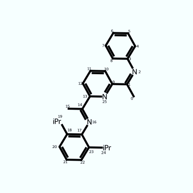 CC(=Nc1ccccc1)c1cccc(C(C)=Nc2c(C(C)C)cccc2C(C)C)n1